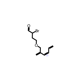 C=C/C=C\C(=C)COCCC(Br)C=O